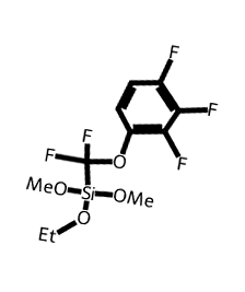 CCO[Si](OC)(OC)C(F)(F)Oc1ccc(F)c(F)c1F